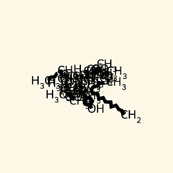 C=CCCCCCCCCCN(CCCC[Si](C)(C)O[Si](C)(C)O[Si](C)(C)O[Si](C)(C)O[Si](C)(C)O[Si](C)(C)O[Si](C)(C)O[Si](C)(C)O[Si](C)(C)O[Si](C)(C)O[Si](C)(C)O[Si](C)(C)O[Si](C)(C)CCCC)CCc1ccc(O)cc1